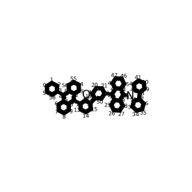 c1ccc(-c2c3ccccc3c(-c3cccc4c3oc3ccc(-c5c6ccccc6c(-n6c7ccccc7c7ccccc76)c6ccccc56)cc34)c3ccccc23)cc1